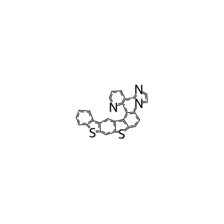 c1ccc2c(c1)sc1cc3sc4ccc5c(c6ncccc6c6nccn56)c4c3cc12